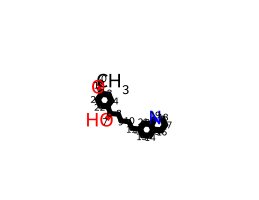 COc1ccc(C(O)CCCCc2ccc3cccnc3c2)cc1